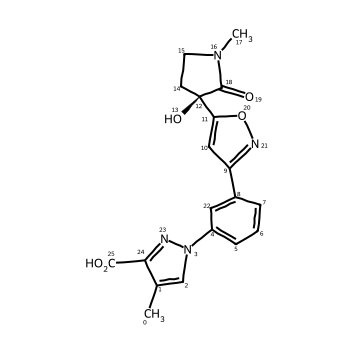 Cc1cn(-c2cccc(-c3cc([C@]4(O)CCN(C)C4=O)on3)c2)nc1C(=O)O